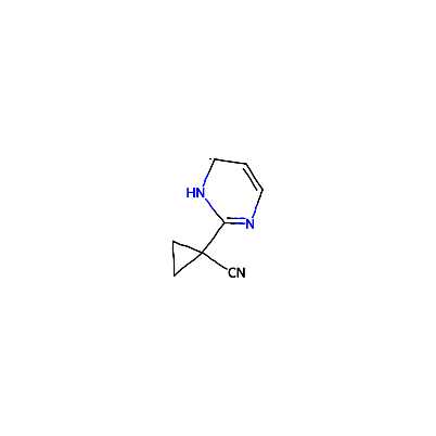 N#CC1(C2=NC=C[CH]N2)CC1